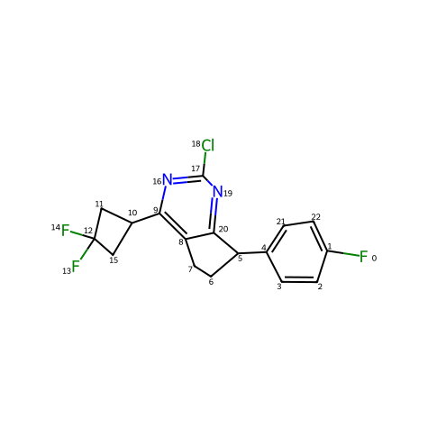 Fc1ccc(C2CCc3c(C4CC(F)(F)C4)nc(Cl)nc32)cc1